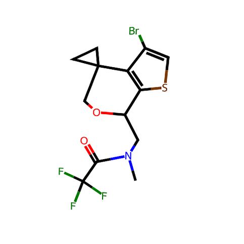 CN(CC1OCC2(CC2)c2c(Br)csc21)C(=O)C(F)(F)F